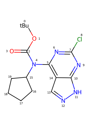 CC(C)(C)OC(=O)N(c1nc(Cl)nc2[nH]ncc12)C1CCCC1